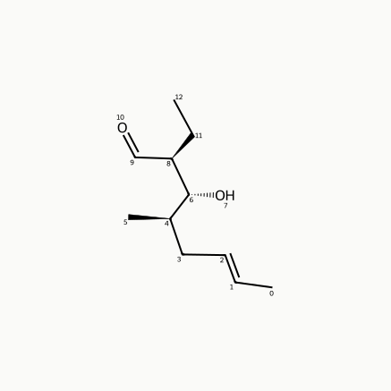 C/C=C/C[C@@H](C)[C@@H](O)[C@@H](C=O)CC